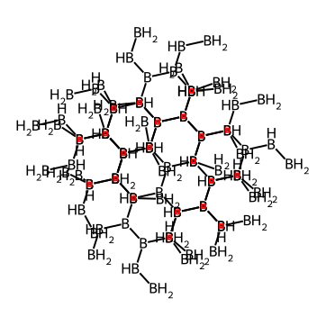 BBB(B)B(BB)B(B(BB)B(BB)BB)B(B(B(BB)B(BB)BB)B(B(BB)B(BB)BB)B(BB)B(BB)BB)B(B(B(BB)B(BB)BB)B(B(BB)B(BB)BB)B(BB)B(BB)BB)B(B(BB)B(BB)BB)B(B(BB)B(BB)BB)B(BB)B(BB)BB